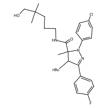 CCCCC1C(c2ccc(F)cc2)=NN(c2ccc(Cl)cc2)C1(C)C(=O)NCCCC(C)(C)CO